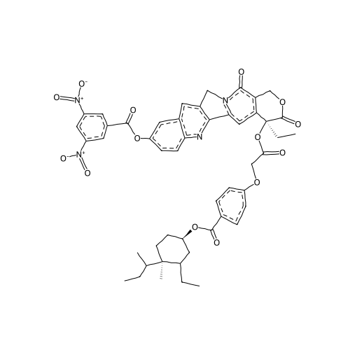 CCC(C)[C@@]1(C)CC[C@@H](OC(=O)c2ccc(OCC(=O)O[C@]3(CC)C(=O)OCc4c3cc3n(c4=O)Cc4cc5cc(OC(=O)c6cc([N+](=O)[O-])cc([N+](=O)[O-])c6)ccc5nc4-3)cc2)CC1CC